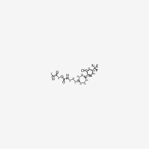 CNC(=O)COC(=O)NCCCN1CCCN(c2ncc(C(F)(F)F)cc2Cl)CC1